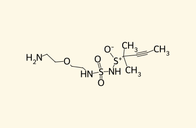 CC#CC(C)(C)[S+]([O-])NS(=O)(=O)NCCOCCN